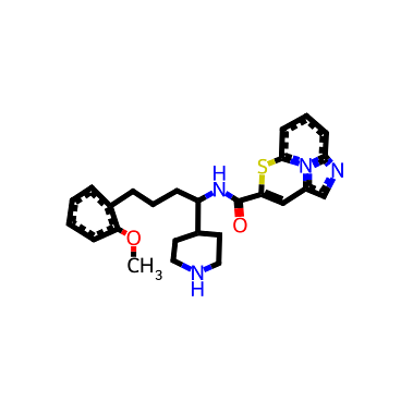 COc1ccccc1CCCC(NC(=O)C1=Cc2cnc3cccc(n23)S1)C1CCNCC1